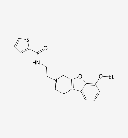 CCOc1cccc2c3c(oc12)CN(CCNC(=O)c1cccs1)CC3